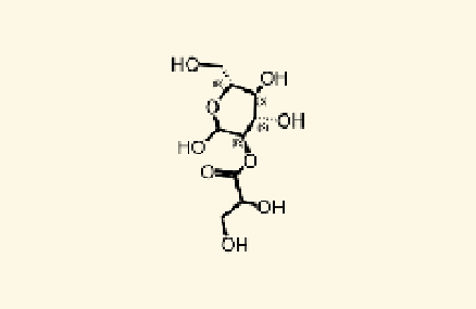 O=C(O[C@H]1C(O)O[C@H](CO)[C@@H](O)[C@@H]1O)C(O)CO